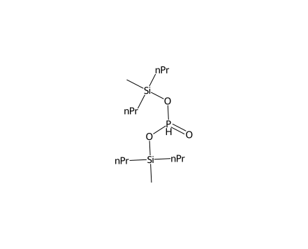 CCC[Si](C)(CCC)O[PH](=O)O[Si](C)(CCC)CCC